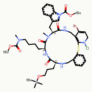 CN(CCCC[C@@H]1NC(=O)[C@H](CCCO[Si](C)(C)C(C)(C)C)NCc2ccccc2SC2=C(CNC(=O)[C@H](Cc3cn(C(=O)OC(C)(C)C)c4ccccc34)N(C)C1=O)C(Br)=CCN2Cl)C(=O)OC(C)(C)C